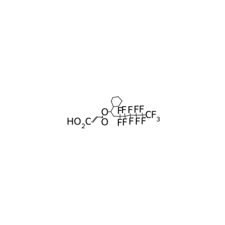 O=C(O)C=CC(=O)OC(CC(F)(F)C(F)(F)C(F)(F)C(F)(F)C(F)(F)C(F)(F)F)C1CCCCC1